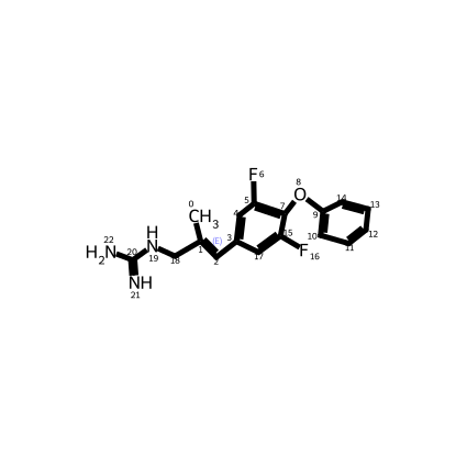 C/C(=C\c1cc(F)c(Oc2ccccc2)c(F)c1)CNC(=N)N